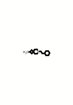 CC1CC2(CCN(CCC3CCCCC3)CC2)C1